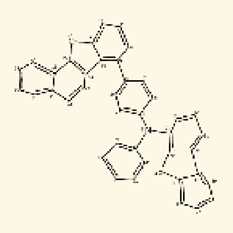 c1ccc(N(c2ccc(-c3cccc4oc5c6ccccc6ccc5c34)cc2)c2cccc3c2sc2ccccc23)cc1